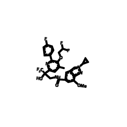 COc1cc(C(=O)NC[C@](O)(c2cc(C)c(OCC(F)F)c(-c3ccc(F)cc3)n2)C(F)(F)F)cc2cn(C3CC3)nc12